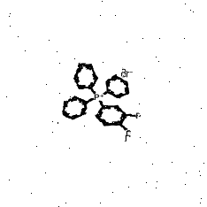 Fc1ccc([P+](c2ccccc2)(c2ccccc2)c2ccccc2)cc1F.[Br-]